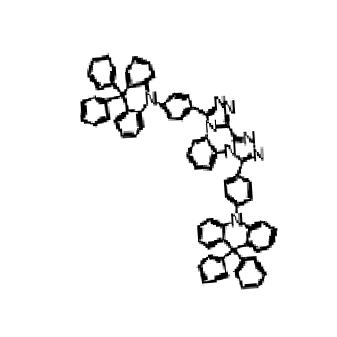 c1ccc(C2(c3ccccc3)c3ccccc3N(c3ccc(-c4nnc5c6nnc(-c7ccc(N8c9ccccc9C(c9ccccc9)(c9ccccc9)c9ccccc98)cc7)n6c6ccccc6n45)cc3)c3ccccc32)cc1